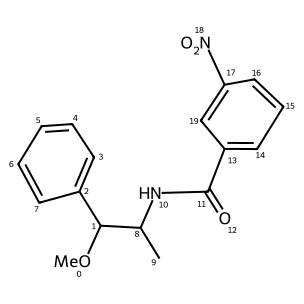 COC(c1ccccc1)C(C)NC(=O)c1cccc([N+](=O)[O-])c1